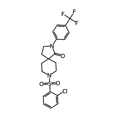 O=C1N(c2ccc(C(F)(F)F)cc2)CCC12CCN(S(=O)(=O)c1ccccc1Cl)CC2